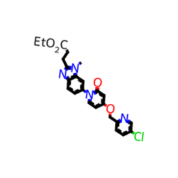 CCOC(=O)CCc1nc2ccc(-n3ccc(OCc4ccc(Cl)cn4)cc3=O)cc2n1C